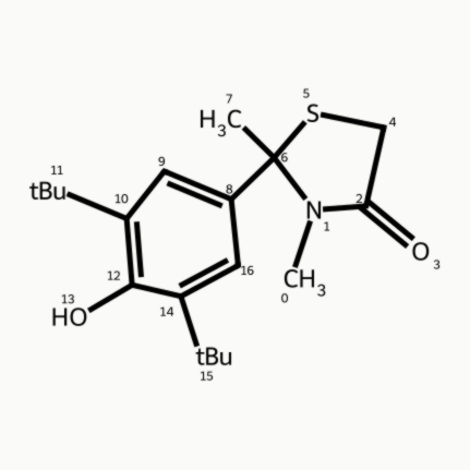 CN1C(=O)CSC1(C)c1cc(C(C)(C)C)c(O)c(C(C)(C)C)c1